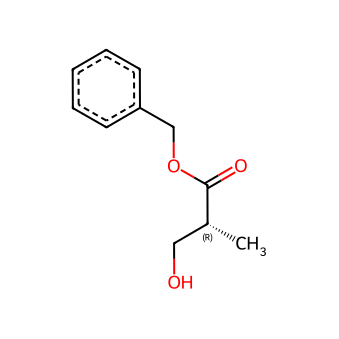 C[C@H](CO)C(=O)OCc1ccccc1